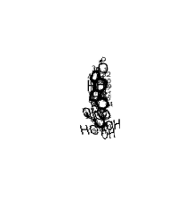 CO[C@H]1CC[C@H]2[C@@H]3CC[C@H]4C[C@@H](O[C@@H]5O[C@H](CO)[C@H](O)[C@H](O)[C@H]5O)CC[C@]4(C)[C@H]3CC[C@]12C